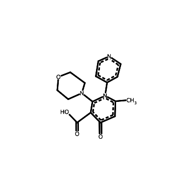 Cc1cc(=O)c(C(=O)O)c(N2CCOCC2)n1-c1ccncc1